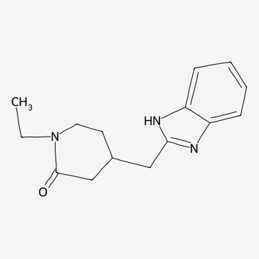 CCN1CCC(Cc2nc3ccccc3[nH]2)CC1=O